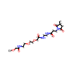 CCOCC(=O)NCCOCCOCC(=O)NCCNC(=O)CCN1C(=O)CC(C)C1=O